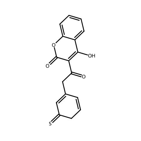 O=C(CC1=CC(=S)CC=C1)c1c(O)c2ccccc2oc1=O